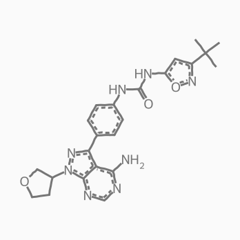 CC(C)(C)c1cc(NC(=O)Nc2ccc(-c3nn(C4CCOC4)c4ncnc(N)c34)cc2)on1